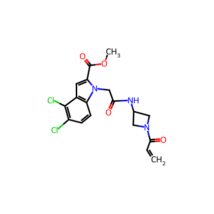 C=CC(=O)N1CC(NC(=O)Cn2c(C(=O)OC)cc3c(Cl)c(Cl)ccc32)C1